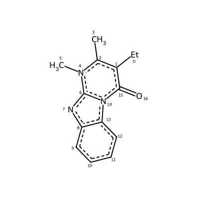 CCc1c(C)n(C)c2nc3ccccc3n2c1=O